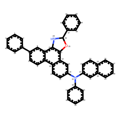 c1ccc(-c2ccc3c(c2)c2c(c4cc(N(c5ccccc5)c5ccc6ccccc6c5)ccc43)OC(c3ccccc3)N2)cc1